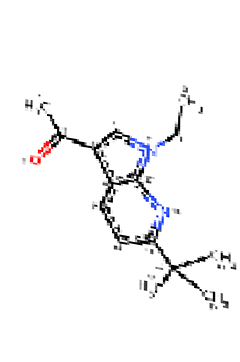 CCn1cc(C(C)=O)c2ccc(C(C)(C)C)nc21